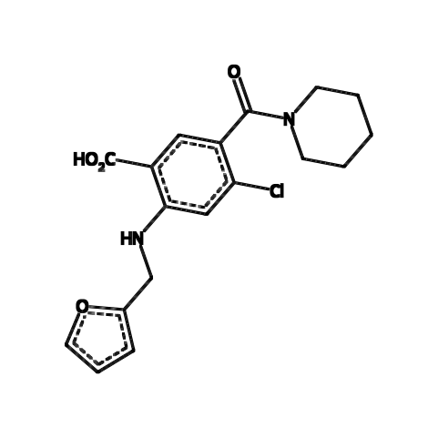 O=C(O)c1cc(C(=O)N2CCCCC2)c(Cl)cc1NCc1ccco1